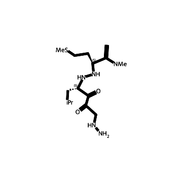 C=C(NC)[C@H](CCSC)NN[C@@H](CC(C)C)C(=O)C(=O)CNN